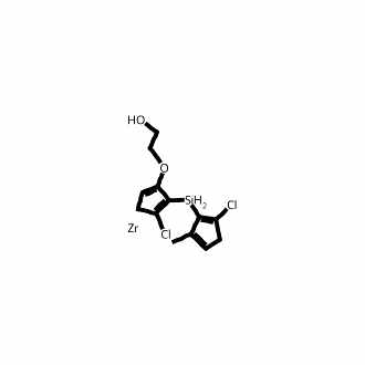 CC1=CCC(Cl)=C1[SiH2]C1=C(Cl)CC=C1OCCO.[Zr]